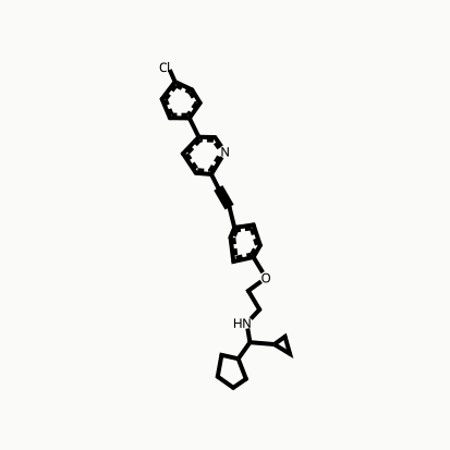 Clc1ccc(-c2ccc(C#Cc3ccc(OCCNC(C4CCCC4)C4CC4)cc3)nc2)cc1